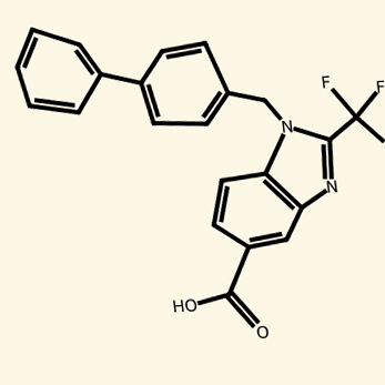 O=C(O)c1ccc2c(c1)nc(C(F)(F)F)n2Cc1ccc(-c2ccccc2)cc1